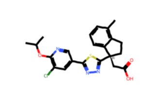 Cc1cccc2c1CC[C@]2(CC(=O)O)c1nnc(-c2cnc(OC(C)C)c(Cl)c2)s1